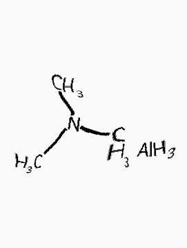 CN(C)C.[AlH3]